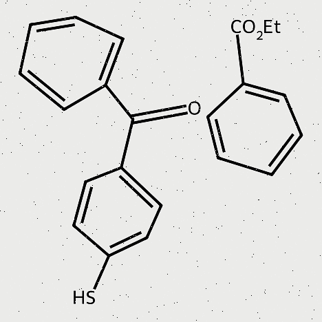 CCOC(=O)c1ccccc1.O=C(c1ccccc1)c1ccc(S)cc1